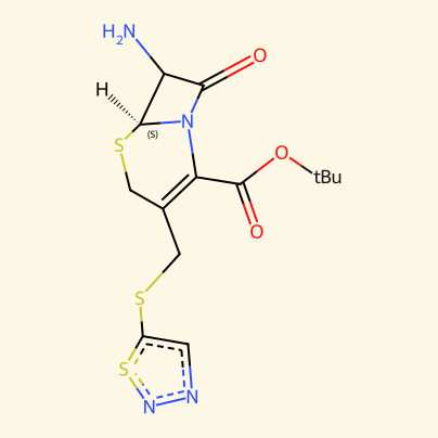 CC(C)(C)OC(=O)C1=C(CSc2cnns2)CS[C@H]2C(N)C(=O)N12